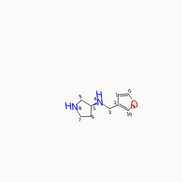 c1cc(CN[C@H]2CCNC2)co1